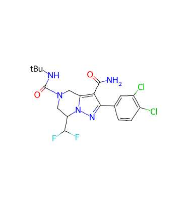 CC(C)(C)NC(=O)N1Cc2c(C(N)=O)c(-c3ccc(Cl)c(Cl)c3)nn2C(C(F)F)C1